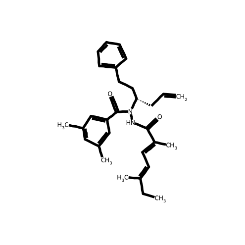 C=CC[C@@H](CCc1ccccc1)N(NC(=O)/C(C)=C/C=C(\C)CC)C(=O)c1cc(C)cc(C)c1